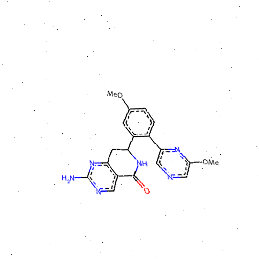 COc1ccc(-c2cncc(OC)n2)c(C2Cc3nc(N)ncc3C(=O)N2)c1